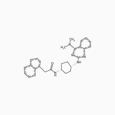 CN(C)c1nc(N[C@H]2CC[C@@H](NC(=O)Cc3cccc4ccccc34)CC2)nc2ccccc12